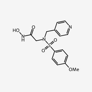 COc1ccc(S(=O)(=O)N(CC(=O)NO)Cc2ccncc2)cc1